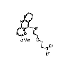 CCN(CC)CCOCCNc1c2ccccc2nc2ccc(OC)cc12